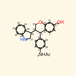 CC(=O)Nc1ccc(C2c3ccc(O)cc3OCC2C2CNc3ccccc32)cc1